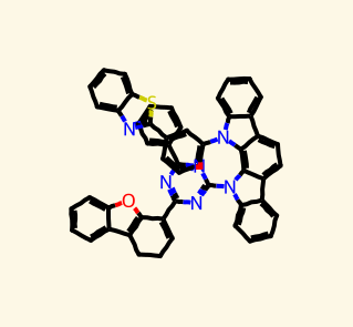 C1=C(c2nc(-c3ccccc3)nc(-n3c4ccccc4c4ccc5c6ccccc6n(-c6cccc(-c7nc8ccccc8s7)c6)c5c43)n2)c2oc3ccccc3c2CC1